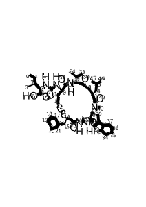 CC[C@H](C)[C@H](NC(=O)N[C@@H]1CCCC[C@H](Cc2ccccc2)C(=O)NNC(=O)[C@H](Cc2c[nH]c3ccccc23)N(C)C(=O)[C@H](CC(C)C)CC(=O)[C@H](C(C)C)NC1=O)C(=O)O